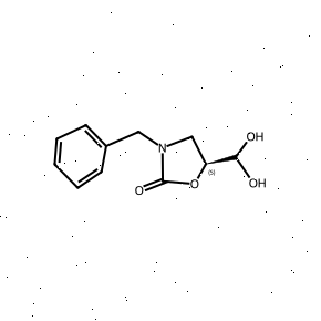 O=C1O[C@H](C(O)O)CN1Cc1ccccc1